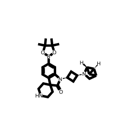 CC1(C)OB(c2ccc3c(c2)N([C@H]2C[C@@H](N4CC5C6[C@H]5[C@H]64)C2)C(=O)C32CCNCC2)OC1(C)C